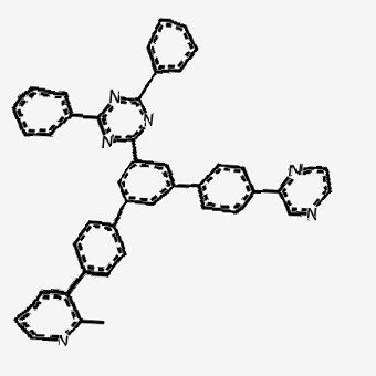 Cc1ncccc1-c1ccc(-c2cc(-c3ccc(-c4cnccn4)cc3)cc(-c3nc(-c4ccccc4)nc(-c4ccccc4)n3)c2)cc1